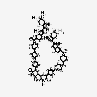 CC1(C)CCc2c(-c3cc4ccc(C(=O)N5CCC(CN6CCN(c7ccc(C8CC(C9CC(c%10ccc(N%11CCC(C%12CCN(C(=O)c%13ccc%14cc(-c%15n[nH]c%16c%15CCC(C)(C)C%16)[nH]c%14c%13)CC%12)CC%11)nc%10)C(=O)NC9=O)C(=O)NC8=O)cn7)CC6)CC5)cc4[nH]3)n[nH]c2C1